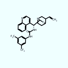 C=CC1CN2CCC1CC2[C@H](NC(=O)Nc1cc(C(F)(F)F)cc(C(F)(F)F)c1)c1ccnc2ccccc12